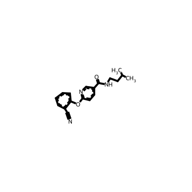 CC(C)CCNC(=O)c1ccc(Oc2ccccc2C#N)nc1